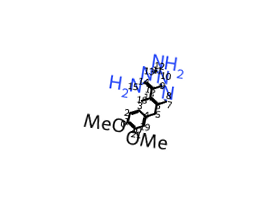 COc1ccc(Cc2cnc3nc(N)nc(N)c3c2C)cc1OC